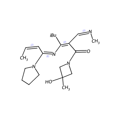 C\C=C/C(=N\C(=C(\C=N/C)C(=O)N1CC(C)(O)C1)C(C)CC)N1CCCC1